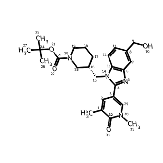 Cc1cc(-c2nc3cc(CO)ccc3n2C[C@H]2CCCN(C(=O)OC(C)(C)C)C2)cn(C)c1=O